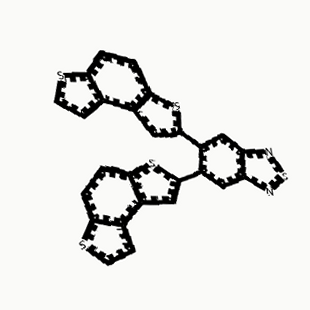 c1cc2c(ccc3sc(-c4cc5nsnc5cc4-c4cc5c(ccc6sccc65)s4)cc32)s1